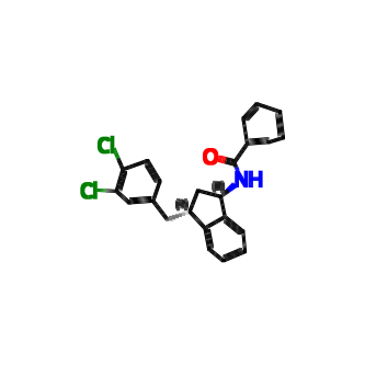 O=C(N[C@@H]1C[C@@H](Cc2ccc(Cl)c(Cl)c2)c2ccccc21)c1ccccc1